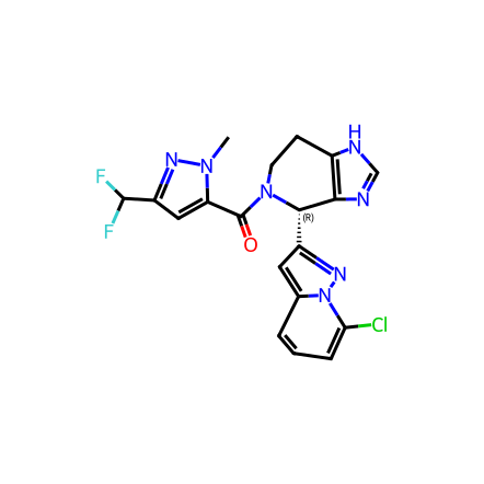 Cn1nc(C(F)F)cc1C(=O)N1CCc2[nH]cnc2[C@@H]1c1cc2cccc(Cl)n2n1